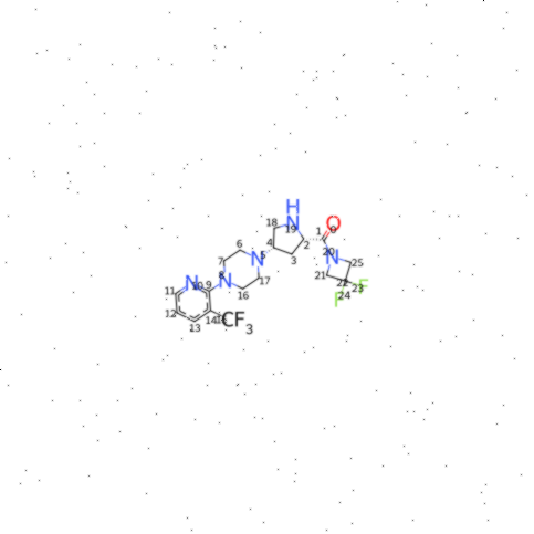 O=C([C@@H]1C[C@H](N2CCN(c3ncccc3C(F)(F)F)CC2)CN1)N1CC(F)(F)C1